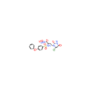 O=C(NO)[C@@H](CCn1c(Cl)cc(=O)[nH]c1=O)NS(=O)(=O)c1ccc(Oc2ccccc2)cc1